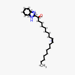 CCCCCCCC/C=C\CCCCCCCC(=O)c1nc2ccccc2[nH]1